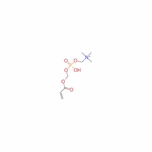 C=CC(=O)OCOP(=O)(O)OC[N+](C)(C)C